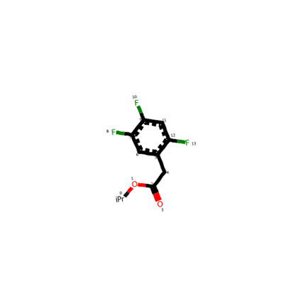 CC(C)OC(=O)Cc1cc(F)c(F)cc1F